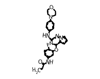 C=CC(=O)Nc1ccc(F)c(Oc2nc(Nc3ccc(N4CCOCC4)cc3)nn3cccc23)c1